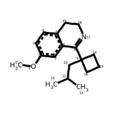 COc1ccc2c(c1)C(C1(CC(C)C)CCC1)=NCC2